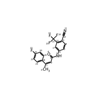 CC(=CC(=O)Nc1ccc(C#N)c(C(F)(F)F)c1)c1ccc(F)cc1